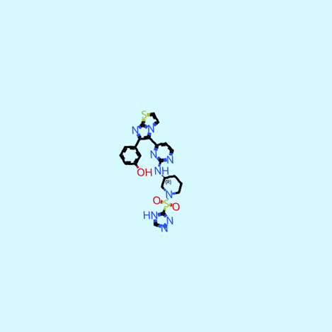 O=S(=O)(c1nnc[nH]1)N1CCC[C@@H](Nc2nccc(-c3c(-c4cccc(O)c4)nc4sccn34)n2)C1